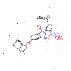 Cc1cc(COc2ccc(C(=O)N[C@H]3CN(C(=O)C(C)(C)C)CC[C@@H]3C(=O)NO)cc2)c2ccccc2n1